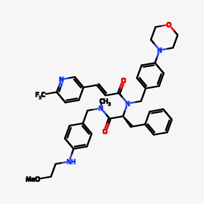 COCCNc1ccc(CN(C)C(=O)[C@H](Cc2ccccc2)N(Cc2ccc(N3CCOCC3)cc2)C(=O)C=Cc2ccc(C(F)(F)F)nc2)cc1